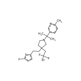 CCC(F)(F)CC1(CCc2ccc(F)s2)CCN(C(C)(C)c2ccc(C)nc2)C1